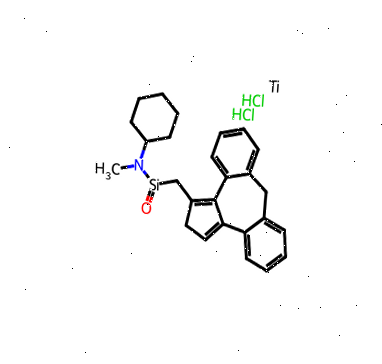 CN(C1CCCCC1)[Si](=O)CC1=C2C(=CC1)c1ccccc1Cc1ccccc12.Cl.Cl.[Ti]